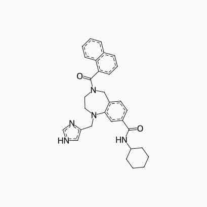 O=C(NC1CCCCC1)c1ccc2c(c1)N(Cc1c[nH]cn1)CCN(C(=O)c1cccc3ccccc13)C2